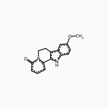 COc1ccc2[nH]c3c(c2c1)CCn1c-3cccc1=O